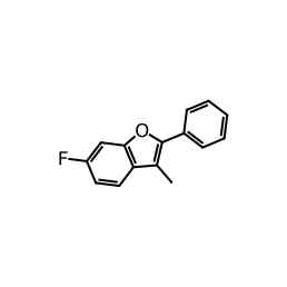 Cc1c(-c2ccccc2)oc2cc(F)ccc12